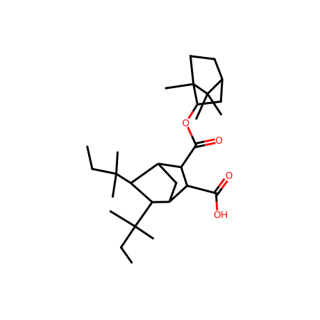 CCC(C)(C)C1C2CC(C(C(=O)OC3CC4CCC3(C)C4(C)C)C2C(=O)O)C1C(C)(C)CC